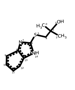 CC(C)(O)CSc1nc2ccccc2[nH]1